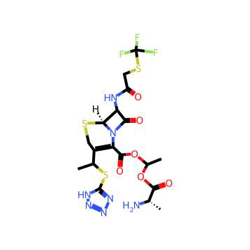 CC(OC(=O)C1=C(C(C)Sc2nnn[nH]2)CS[C@H]2C(NC(=O)CSC(F)(F)F)C(=O)N12)OC(=O)[C@H](C)N